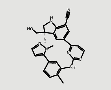 Cc1ccc(-c2ccnn2C)cc1Nc1nccc(-c2cc(C#N)c3c(c2)[C@@](C)(CO)CN3)n1